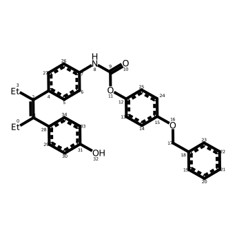 CCC(=C(CC)c1ccc(NC(=O)Oc2ccc(OCc3ccccc3)cc2)cc1)c1ccc(O)cc1